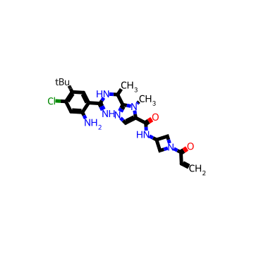 C=CC(=O)N1CC(NC(=O)c2cnc(C(C)NC(=N)c3cc(C(C)(C)C)c(Cl)cc3N)n2C)C1